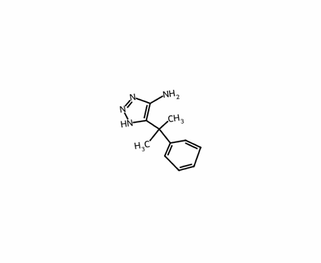 CC(C)(c1ccccc1)c1[nH]nnc1N